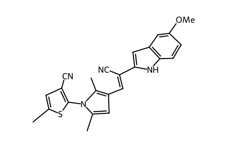 COc1ccc2[nH]c(C(C#N)=Cc3cc(C)n(-c4sc(C)cc4C#N)c3C)cc2c1